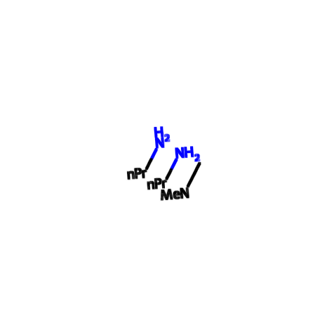 CCCN.CCCN.CNC